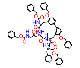 O=C(NC[C@H](O)C[C@@H]1NC(=O)[C@@H](NC(=O)OCc2ccccc2)Cc2cc(ccc2OCc2ccccc2)-c2ccc(OCc3ccccc3)c(c2)C[C@@H](C(=O)N[C@@H](Cc2ccccc2)C(=O)OCc2ccccc2)NC1=O)OCc1ccccc1